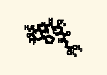 CN(C)CCNC(=O)c1ccc(Nc2ncc3c(n2)N(C2CCCC2)CC(F)(F)C(=O)N3C)c(C(F)(F)F)c1